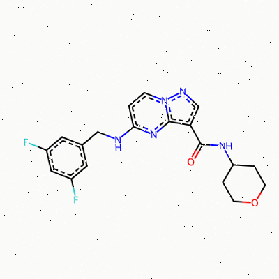 O=C(NC1CCOCC1)c1cnn2ccc(NCc3cc(F)cc(F)c3)nc12